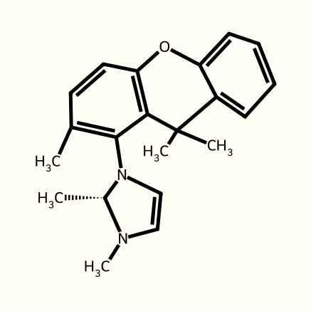 Cc1ccc2c(c1N1C=CN(C)[C@@H]1C)C(C)(C)c1ccccc1O2